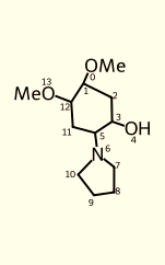 COC1CC(O)C(N2CCCC2)CC1OC